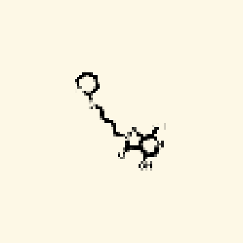 O=c1c2c(O)cnc(O)c2sn1CCCCOC1CCCCO1